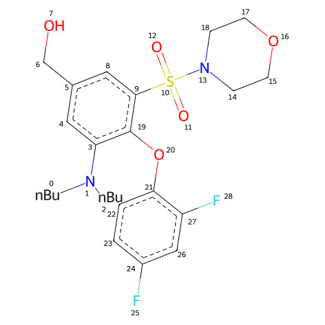 CCCCN(CCCC)c1cc(CO)cc(S(=O)(=O)N2CCOCC2)c1Oc1ccc(F)cc1F